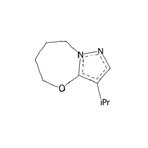 CC(C)c1cnn2c1OCCCC2